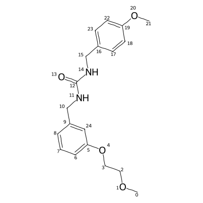 COCCOc1cccc(CNC(=O)NCc2ccc(OC)cc2)c1